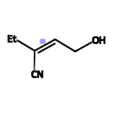 CC/C(C#N)=C/CO